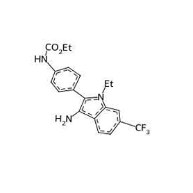 CCOC(=O)Nc1ccc(-c2c(N)c3ccc(C(F)(F)F)cc3n2CC)cc1